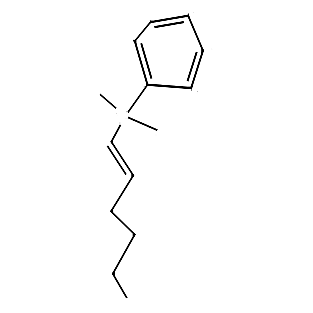 CCCC/C=C/[Si](C)(C)c1ccccc1